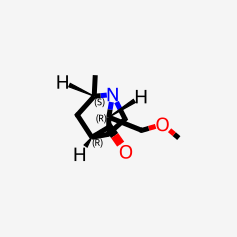 COC[C@@H]1C(=O)[C@@H]2CCN1[C@@H](C)C2